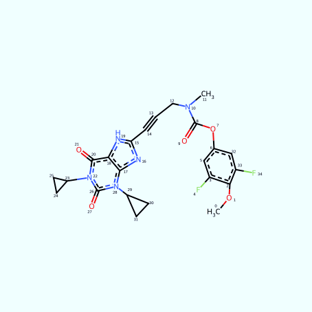 COc1c(F)cc(OC(=O)N(C)CC#Cc2nc3c([nH]2)c(=O)n(C2CC2)c(=O)n3C2CC2)cc1F